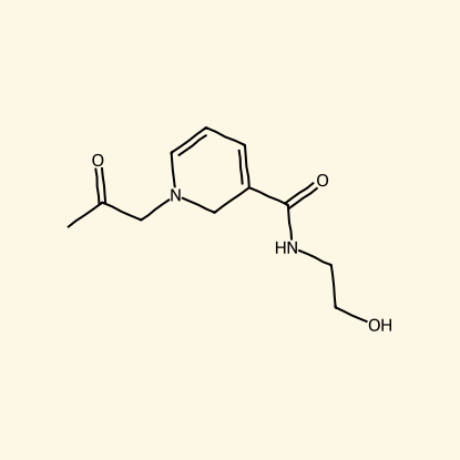 CC(=O)CN1C=CC=C(C(=O)NCCO)C1